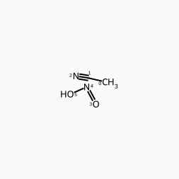 CC#N.O=NO